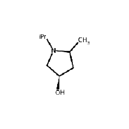 CC(C)N1C[C@H](O)CC1C